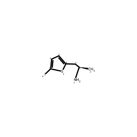 C[C@@H](N)Cc1ccc(I)s1